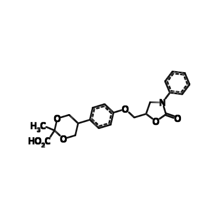 CC1(C(=O)O)OCC(c2ccc(OCC3CN(c4ccccc4)C(=O)O3)cc2)CO1